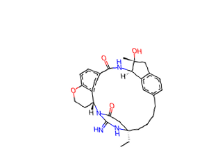 CC[C@]12CCCCc3ccc4c(c3)[C@@H](NC(=O)c3ccc5c(c3)[C@@H](CCO5)N(C(=N)N1)C(=O)C2)[C@](C)(O)C4